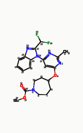 Cc1nc(OC2CCCN(C(=O)OC(C)(C)C)CC2)cc(-n2c(C(F)F)nc3ccccc32)n1